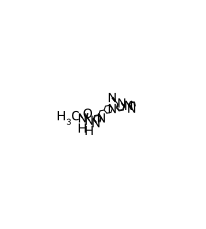 CCNC(=O)Nc1cc(CC2CCN(c3ccc(-n4cccn4)nc3C#N)CC2)ncn1